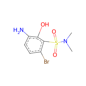 CN(C)S(=O)(=O)c1c(Br)ccc(N)c1O